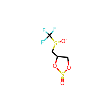 O=S1OCC(C[S+]([O-])C(F)(F)F)O1